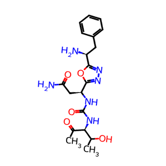 CC(=O)[C@@H](NC(=O)N[C@@H](CC(N)=O)c1nnc([C@@H](N)Cc2ccccc2)o1)C(C)O